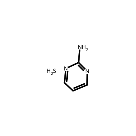 Nc1ncccn1.S